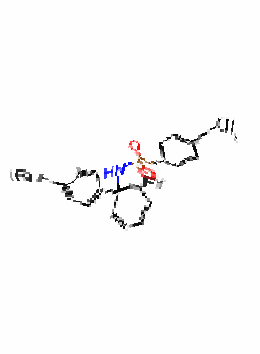 CCC1C=CC=CC1(NS(=O)(=O)c1ccc(C)cc1)c1ccc(C(C)(C)C)cc1